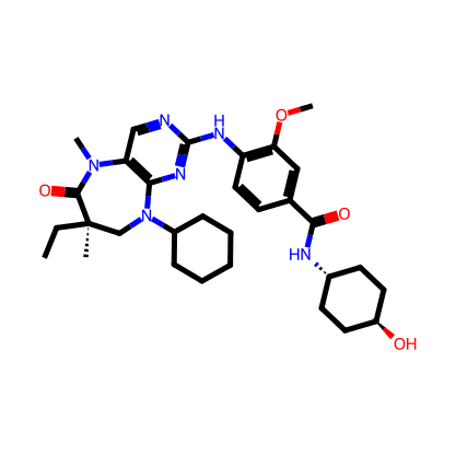 CC[C@]1(C)CN(C2CCCCC2)c2nc(Nc3ccc(C(=O)N[C@H]4CC[C@H](O)CC4)cc3OC)ncc2N(C)C1=O